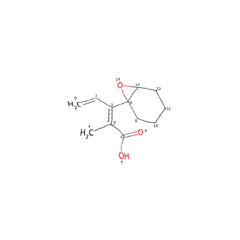 C=CC(=C(C)C(=O)O)C12CCCCC1O2